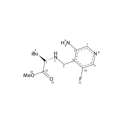 CC[C@H](C)[C@H](NCc1c(N)cncc1F)C(=O)OC